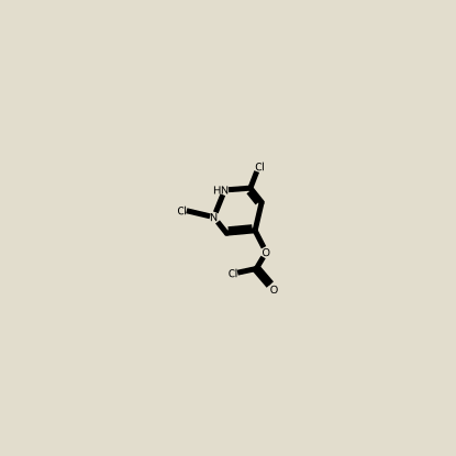 O=C(Cl)OC1=CN(Cl)NC(Cl)=C1